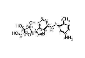 Cc1ccc(N)cc1CNc1ncnc2c1ncn2[C@@H]1O[C@H](CO)[C@@H](O)[C@H]1O